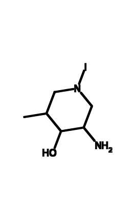 CC1CN(I)CC(N)C1O